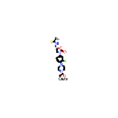 CCC(C)C(=S)NC[C@H]1CN(c2ccc(N3CCN(C(=O)COC)CC3)c(F)c2)C(=O)O1